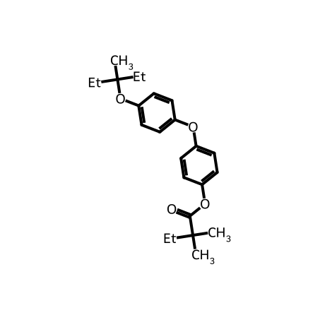 CCC(C)(CC)Oc1ccc(Oc2ccc(OC(=O)C(C)(C)CC)cc2)cc1